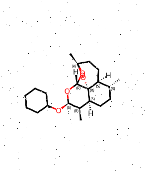 C[C@H]1[C@@H](OC2CCCCC2)O[C@@H]2O[C@@]3(C)CC[C@H]4[C@H](C)CC[C@@H]1[C@@]24OO3